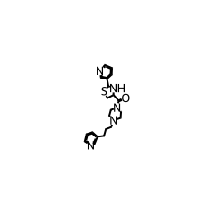 O=C(C1CSC(c2cccnc2)N1)N1CCN(CCCc2cccnc2)CC1